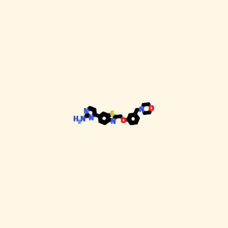 Nc1nccc(-c2ccc3nc(COc4cccc(CN5CCOCC5)c4)sc3c2)n1